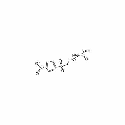 O=C(O)NOCCS(=O)(=O)c1ccc([N+](=O)[O-])cc1